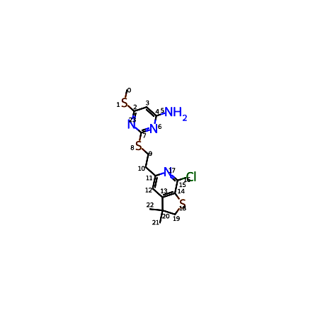 CSc1cc(N)nc(SCCc2cc3c(c(Cl)n2)SCC3(C)C)n1